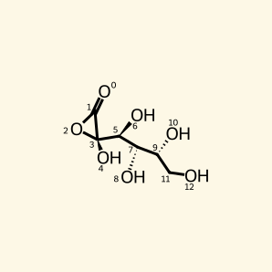 O=C1O[C@@]1(O)[C@@H](O)[C@@H](O)[C@H](O)CO